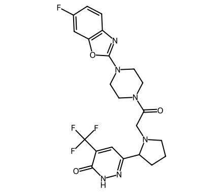 O=C(CN1CCCC1c1cc(C(F)(F)F)c(=O)[nH]n1)N1CCN(c2nc3ccc(F)cc3o2)CC1